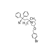 CC(C)(CCC(C#N)(c1ccccc1)c1ccccc1)N1CCC(OCc2ccc(Br)cc2)C1